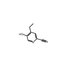 CCc1cc(C#N)ncc1O